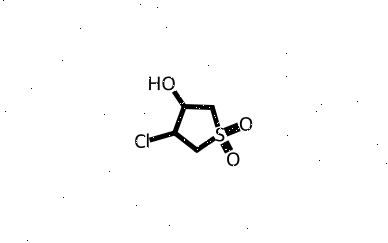 O=S1(=O)CC(O)C(Cl)C1